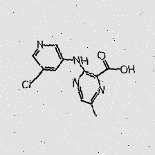 Cc1cnc(Nc2cncc(Cl)c2)c(C(=O)O)n1